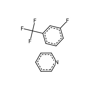 Fc1cccc(C(F)(F)F)c1.c1ccncc1